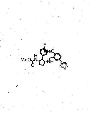 COC(=O)N[C@H]1CC[C@H](NCc2cc(-n3cnnn3)ccc2OC)[C@@H]1c1ccc(F)cc1